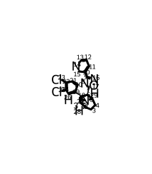 CN1[C@@H]2CC[C@H]1[C@H](c1nc(-c3cccnc3)no1)[C@H](c1ccc(Cl)c(Cl)c1)C2